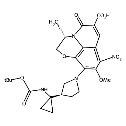 COc1c(N2CC[C@@H](C3(NC(=O)OC(C)(C)C)CC3)C2)c2c3c(cc(C(=O)O)c(=O)n3[C@@H](C)CO2)c1[N+](=O)[O-]